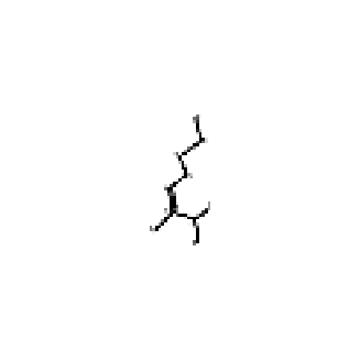 [CH2]CCCC=C(C)C(C)C